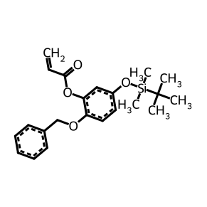 C=CC(=O)Oc1cc(O[Si](C)(C)C(C)(C)C)ccc1OCc1ccccc1